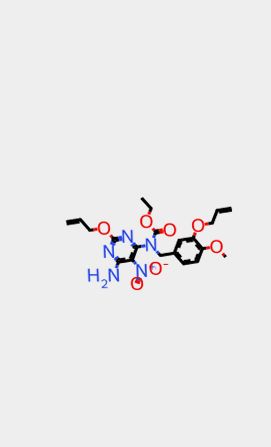 C=CCOc1nc(N)c([N+](=O)[O-])c(N(Cc2ccc(OC)c(OCC=C)c2)C(=O)OCC)n1